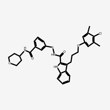 Cc1cc(OCCCc2c(C(=O)NSc3cccc(C(=O)NC4CCOCC4)c3)[nH]c3ccccc23)cc(C)c1Cl